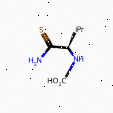 CC(C)[C@@H](NC(=O)O)C(N)=S